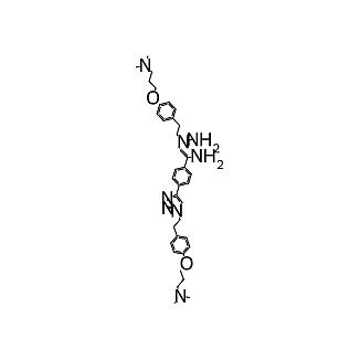 CN(C)CCCOc1ccc(CCN(N)/C=C(\N)c2ccc(-c3cn(CCc4ccc(OCCCN(C)C)cc4)nn3)cc2)cc1